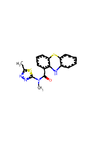 Cc1nnc(N(C)C(=O)c2cccc3c2Nc2ccccc2S3)s1